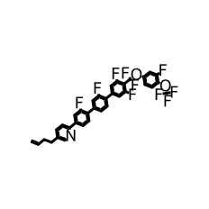 C=CCCc1ccc(-c2ccc(-c3ccc(-c4cc(F)c(C(F)(F)Oc5ccc(OC(F)(F)F)c(F)c5)c(F)c4)c(F)c3)c(F)c2)nc1